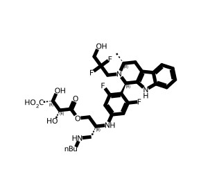 CCCCNC[C@H](COC(=O)[C@H](O)[C@@H](O)C(=O)O)Nc1cc(F)c([C@@H]2c3[nH]c4ccccc4c3C[C@@H](C)N2CC(F)(F)CO)c(F)c1